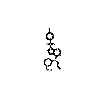 C=CCN(c1ncnc2c1ccn2S(=O)(=O)c1ccc(C)cc1)C1CCCN(C(=O)O)C1